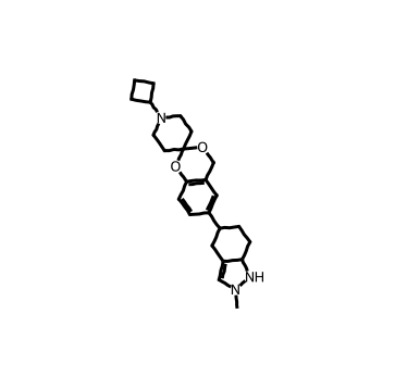 CN1C=C2CC(c3ccc4c(c3)COC3(CCN(C5CCC5)CC3)O4)CCC2N1